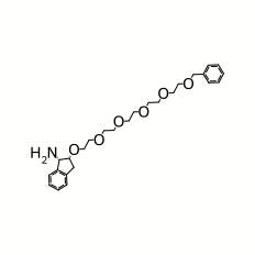 N[C@H]1c2ccccc2C[C@H]1OCCOCCOCCOCCOCCOCc1ccccc1